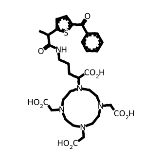 CC(C(=O)NCCCC(C(=O)O)N1CCN(CC(=O)O)CCN(CC(=O)O)CCN(CC(=O)O)CC1)c1ccc(C(=O)c2ccccc2)s1